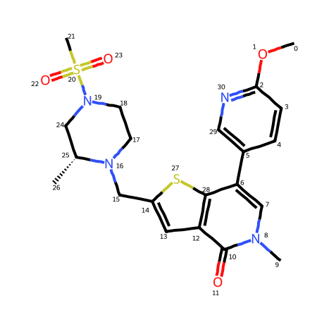 COc1ccc(-c2cn(C)c(=O)c3cc(CN4CCN(S(C)(=O)=O)C[C@H]4C)sc23)cn1